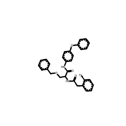 O=C(Cc1ccccc1Cl)NC(COCc1ccccc1)C(=O)Nc1ccc(Oc2ccccc2)cc1